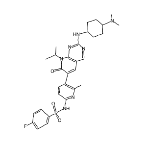 Cc1nc(NS(=O)(=O)c2ccc(F)cc2)ccc1-c1cc2cnc(NC3CCC(N(C)C)CC3)nc2n(C(C)C)c1=O